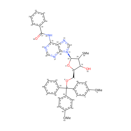 COc1ccc(C(OC[C@H]2O[C@@H](n3cnc4c(NC(=O)c5ccccc5)ncnc43)C(SC)C2O)(c2ccccc2)c2ccc(OC)cc2)cc1